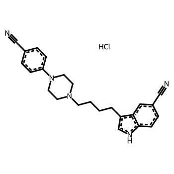 Cl.N#Cc1ccc(N2CCN(CCCCc3c[nH]c4ccc(C#N)cc34)CC2)cc1